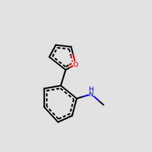 CNc1ccccc1-c1ccco1